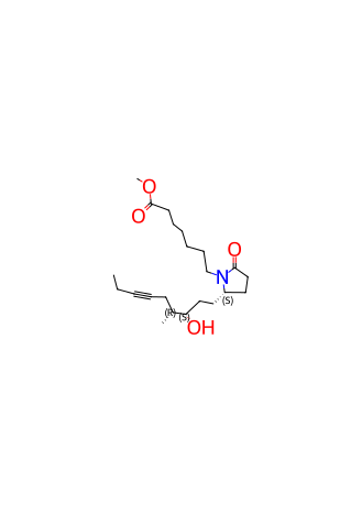 CCC#CC[C@@H](C)[C@@H](O)CC[C@H]1CCC(=O)N1CCCCCCC(=O)OC